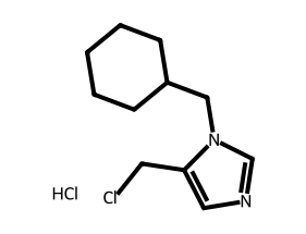 Cl.ClCc1cncn1CC1CCCCC1